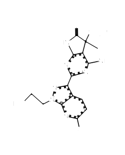 CCOC(=O)C1(C)C(=O)Nc2nc(-c3nn(CCC(F)(F)F)c4nc(Cl)ccc34)nc(N)c21